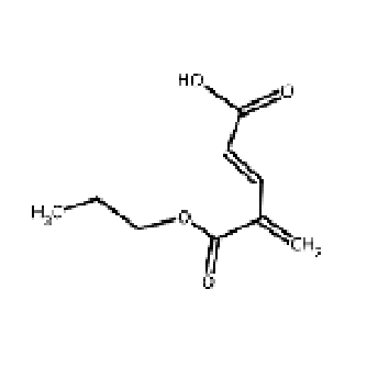 C=C(C=CC(=O)O)C(=O)OCCC